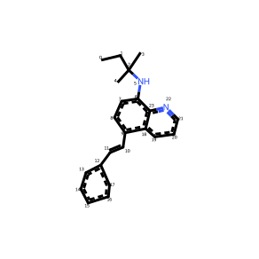 CCC(C)(C)Nc1ccc(C=Cc2ccccc2)c2cccnc12